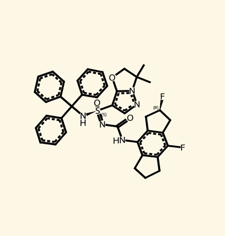 CC1(C)COc2c([S@@](=O)(=NC(=O)Nc3c4c(c(F)c5c3C[C@@H](F)C5)CCC4)NC(c3ccccc3)(c3ccccc3)c3ccccc3)cnn21